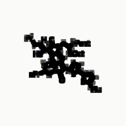 C=c1c(/C(S)=C/CC(C)C)c2cc3c(cc2n1CC(CCCCC)CCCCCCCC)=C(c1ccc(-c2ccc(C(C)(C)C)s2)s1)C(=O)N3CC(CCC)CCCCCCCC